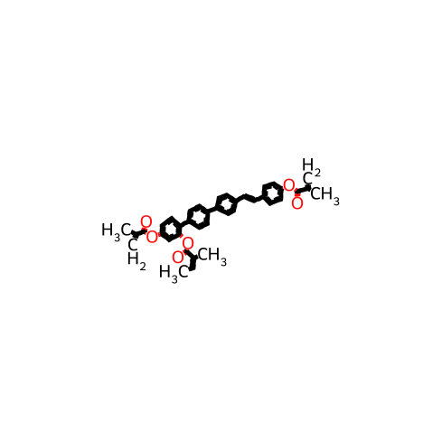 C=C(C)C(=O)Oc1ccc(/C=C/c2ccc(-c3ccc(-c4ccc(OC(=O)C(=C)C)cc4OC(=O)/C(C)=C\C)cc3)cc2)cc1